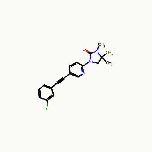 CN1C(=O)N(c2ccc(C#Cc3cccc(F)c3)cn2)CC1(C)C